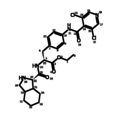 CCOC(=O)[C@@H](Cc1ccc(NC(=O)c2c(Cl)cncc2Cl)cc1)NC(=O)[C@H]1NCC2CCCCC21